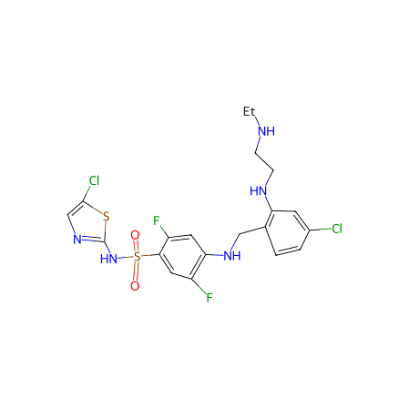 CCNCCNc1cc(Cl)ccc1CNc1cc(F)c(S(=O)(=O)Nc2ncc(Cl)s2)cc1F